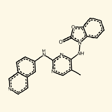 Cc1cnc(Nc2ccc3cnccc3c2)nc1Nn1c(=O)oc2ccccc21